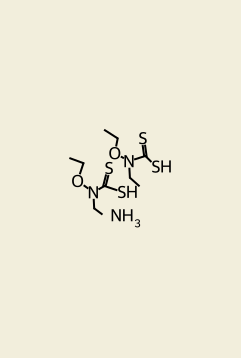 CCON(CC)C(=S)S.CCON(CC)C(=S)S.N